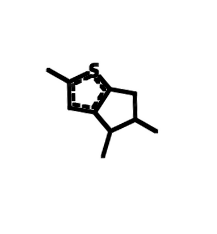 Cc1cc2c(s1)CC(C)C2C